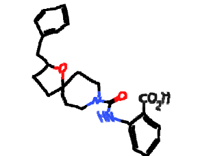 O=C(O)c1ccccc1NC(=O)N1CCC2(CCC(Cc3ccccc3)O2)CC1